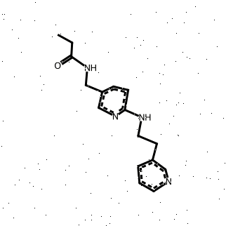 CCC(=O)NCc1ccc(NCCc2cccnc2)nc1